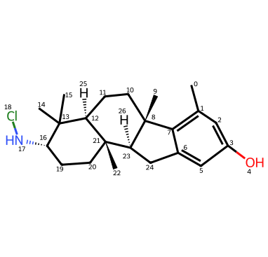 Cc1cc(O)cc2c1[C@@]1(C)CC[C@@H]3C(C)(C)[C@@H](NCl)CC[C@@]3(C)[C@@H]1C2